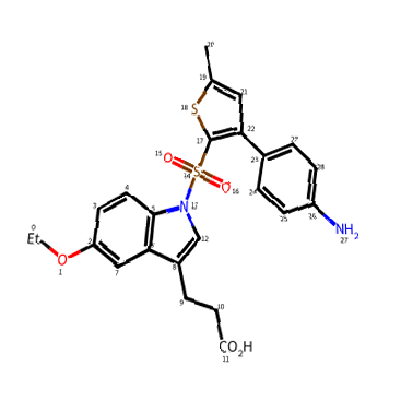 CCOc1ccc2c(c1)c(CCC(=O)O)cn2S(=O)(=O)c1sc(C)cc1-c1ccc(N)cc1